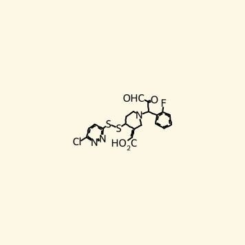 O=CC(=O)C(c1ccccc1F)N1CCC(SSc2ccc(Cl)nn2)/C(=C\C(=O)O)C1